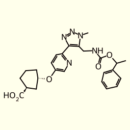 CC(OC(=O)NCc1c(-c2ccc(O[C@H]3CCC[C@H](C(=O)O)C3)cn2)nnn1C)c1ccccc1